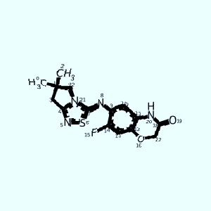 CC1(C)Cc2ns/c(=N\c3cc4c(cc3F)OCC(=O)N4)n2C1